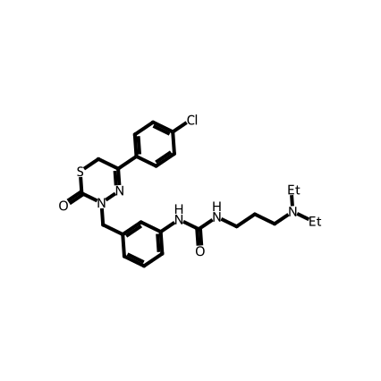 CCN(CC)CCCNC(=O)Nc1cccc(CN2N=C(c3ccc(Cl)cc3)CSC2=O)c1